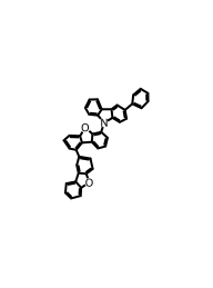 c1ccc(-c2ccc3c(c2)c2ccccc2n3-c2cccc3c2oc2cccc(-c4ccc5oc6ccccc6c5c4)c23)cc1